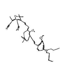 CCCCN(CCCC)c1ccc(/C=C/C2=C(OC)C(=C/C=C/C3=C(C#N)C(=C(/C)C#N)/OC3(C)C)/CC(C)(C)C2)c(OC)c1